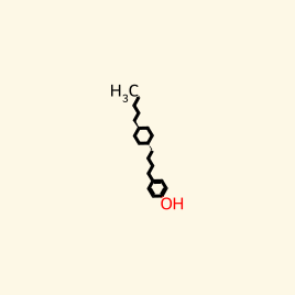 CCCCC[C@H]1CC[C@H](CCCCc2ccc(O)cc2)CC1